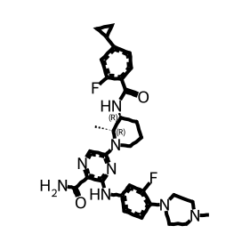 C[C@@H]1[C@H](NC(=O)c2ccc(C3CC3)cc2F)CCCN1c1cnc(C(N)=O)c(Nc2ccc(N3CCN(C)CC3)c(F)c2)n1